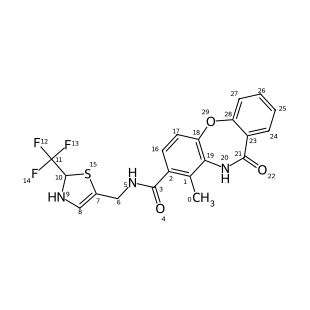 Cc1c(C(=O)NCC2=CNC(C(F)(F)F)S2)ccc2c1NC(=O)c1ccccc1O2